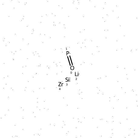 O=[P].[Li].[Si].[Zr]